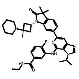 CCNC(=O)c1ccc(F)c(Nc2nc(-c3ccc4c(c3)N([C@H]3C[C@@](C)(N5CCCCC5)C3)C(=O)C4(C)C)cc3ncn(C(C)C)c23)c1